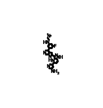 CN(C)CCNc1cc(F)cc(-c2cncc3[nH]c(-c4n[nH]c5ccc(-c6cncc(N)c6)nc45)cc23)c1